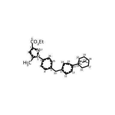 CCOC(=O)c1cc(C)n(-c2ccc(Cc3ccc(C45CCC(CC4)CC5)cc3)cc2)n1